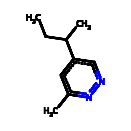 CCC(C)c1cnnc(C)c1